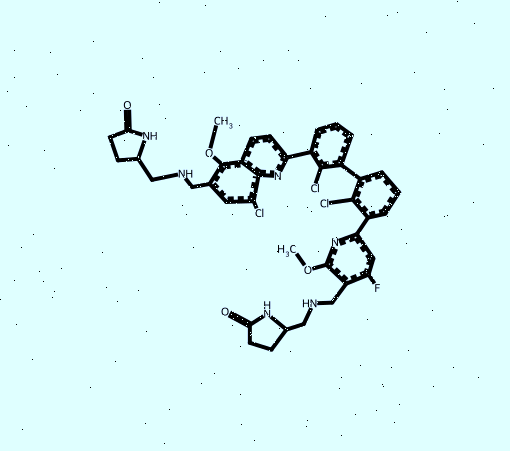 COc1nc(-c2cccc(-c3cccc(-c4ccc5c(OC)c(CNCC6CCC(=O)N6)cc(Cl)c5n4)c3Cl)c2Cl)cc(F)c1CNCC1CCC(=O)N1